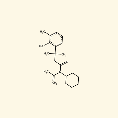 C=C(C)N(C(=O)CC(C)(C)c1cccc(C)c1C)C1CCCCC1